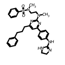 CN(CCN(C)S(=O)(=O)c1ccccc1)c1nc(CCCc2ccccc2)cc(-c2ccc(NC3=NCCN3)cc2)n1